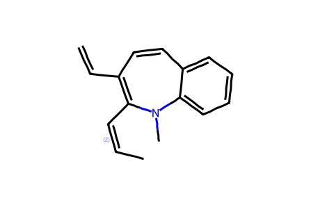 C=CC1=C(/C=C\C)N(C)c2ccccc2C=C1